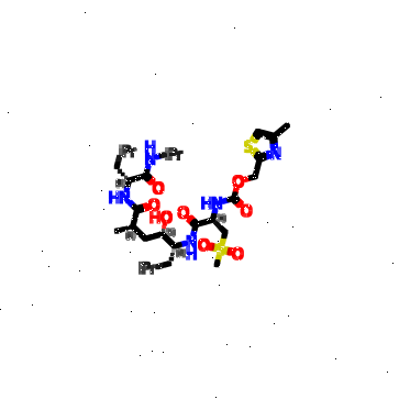 Cc1csc(COC(=O)N[C@@H](CS(C)(=O)=O)C(=O)N[C@H](CC(C)C)[C@@H](O)C[C@@H](C)C(=O)N[C@H](CC(C)C)C(=O)NC(C)C)n1